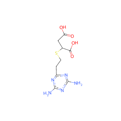 Nc1nc(N)nc(CCSC(CC(=O)O)C(=O)O)n1